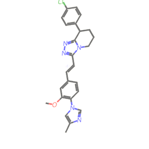 COc1cc(/C=C/c2nnc3n2CCCC3c2ccc(Cl)cc2)ccc1-n1cnc(C)c1